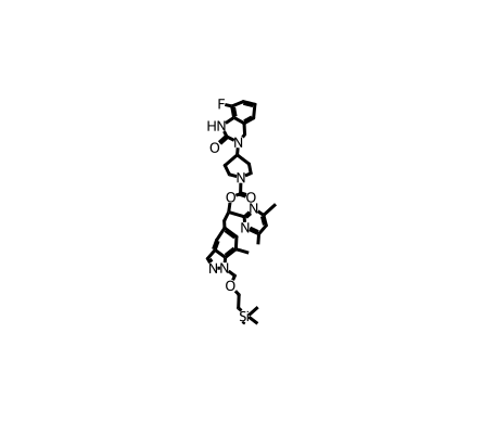 Cc1cc(C)nc(C(Cc2cc(C)c3c(cnn3COCC[Si](C)(C)C)c2)OC(=O)N2CCC(N3Cc4cccc(F)c4NC3=O)CC2)n1